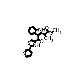 COC(=O)C(C)c1[nH]c2ccccc2c1C(=O)C1=CSC(c2cccnc2)N1